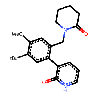 COc1cc(CN2CCCCC2=O)c(-c2ccc[nH]c2=O)cc1C(C)(C)C